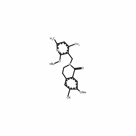 CCCCOc1nc(C)cc(C)c1CN1CCc2cc(C#N)c(OC)cc2C1=O